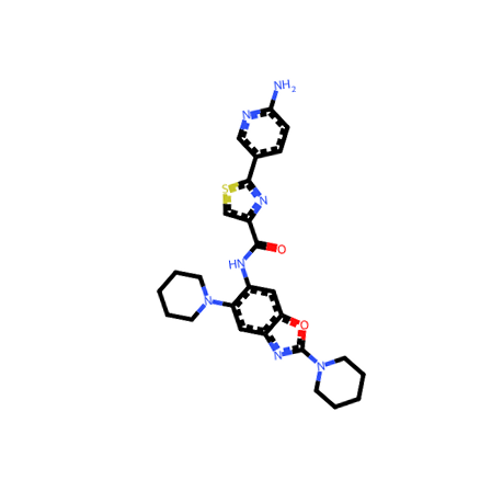 Nc1ccc(-c2nc(C(=O)Nc3cc4oc(N5CCCCC5)nc4cc3N3CCCCC3)cs2)cn1